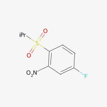 CC(C)S(=O)(=O)c1ccc(F)cc1[N+](=O)[O-]